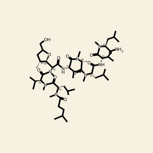 CC(C)CCC(=O)N(C)[C@@H](CC(C)C)C(=O)N(C)[C@H](C(=O)N(C)[C@H](C(=O)N[C@H](C(=O)N(C)[C@H](C)C(=O)N(C)[C@@H](CC(C)C)C(=O)N[C@H](C(=O)N(C)[C@@H](CC(C)C)C(N)=O)C(C)C)C(C)C)[C@@H]1OC(CO)C[C@H]1C)C(C)C